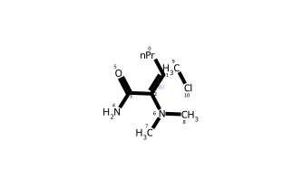 CCC/C=C(\C(N)=O)N(C)C.CCl